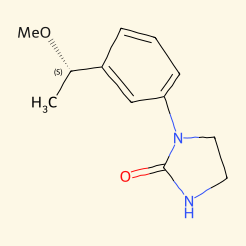 CO[C@@H](C)c1cccc(N2CCNC2=O)c1